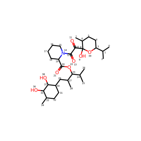 CC(C)C1CCC(C)C(O)(C(=O)C(=O)N2CCCCC2C(=O)OC(C(C)C)C(C)CC2CCC(C)C(O)C2O)O1